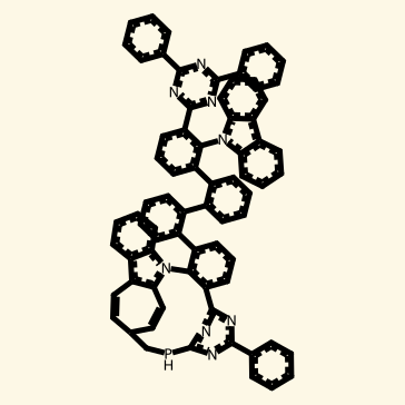 C1=CC2C=Cc3c1c1ccccc1n3-c1c(cccc1-c1ccccc1-c1ccccc1-c1cccc(-c3nc(-c4ccccc4)nc(-c4ccccc4)n3)c1-n1c3ccccc3c3ccccc31)-c1nc(nc(-c3ccccc3)n1)PC2